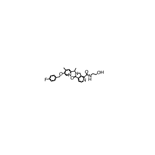 Cc1cc(C(C)N2Cc3c(ccnc3C(=O)NCCO)C2=O)ncc1OCc1ccc(F)cc1